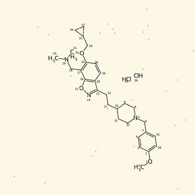 COc1ccc(CN2CCC(CCc3noc4c(CN(C)C)c(OCC5CC5)ccc34)CC2)cc1.Cl.Cl